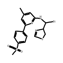 CCC(Nc1cc(C)cc(-c2ccc(S(C)(=O)=O)cc2)n1)C1CSC=N1